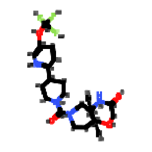 O=C1CO[C@H]2CCN(C(=O)N3CCC(c4ccc(OC(F)(F)F)cn4)CC3)C[C@H]2N1